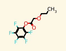 CCCOCC(=O)Oc1c(F)c(F)c(F)c(F)c1F